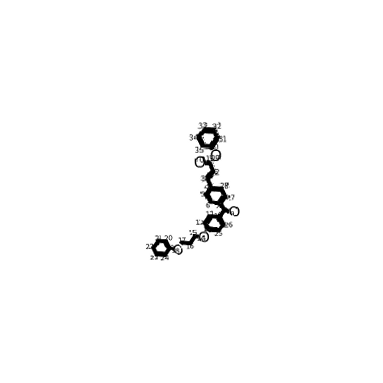 O=C(/C=C/c1ccc(C(=O)c2ccc(OCCCOc3ccccc3)cc2)cc1)Oc1ccccc1